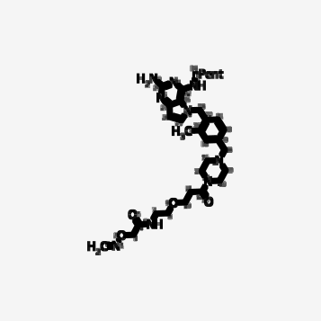 C=NOCC(=O)NCCOCCC(=O)N1CCN(Cc2ccc(Cn3ccc4nc(N)nc(NCCCCC)c43)c(C)c2)CC1